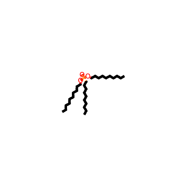 CCCCCCCCCCOP(=O)(CCCCCCCCCC)OCCCCCCCCCC